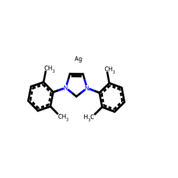 Cc1cccc(C)c1N1C=CN(c2c(C)cccc2C)C1.[Ag]